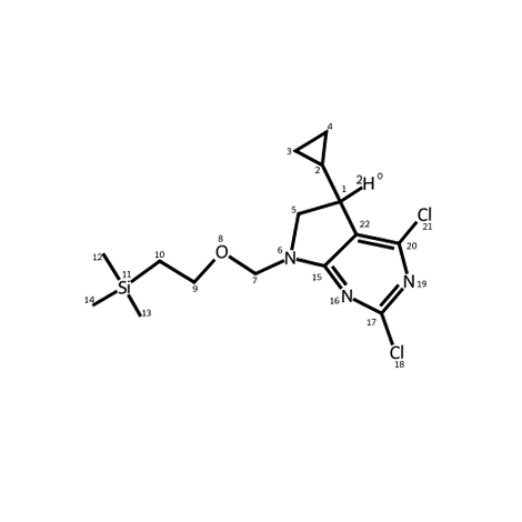 [2H]C1(C2CC2)CN(COCC[Si](C)(C)C)c2nc(Cl)nc(Cl)c21